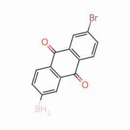 Bc1ccc2c(c1)C(=O)c1ccc(Br)cc1C2=O